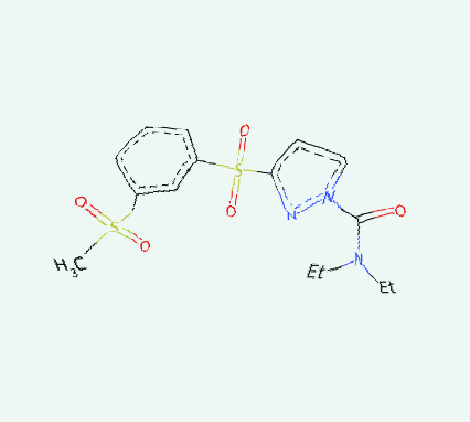 CCN(CC)C(=O)n1ccc(S(=O)(=O)c2cccc(S(C)(=O)=O)c2)n1